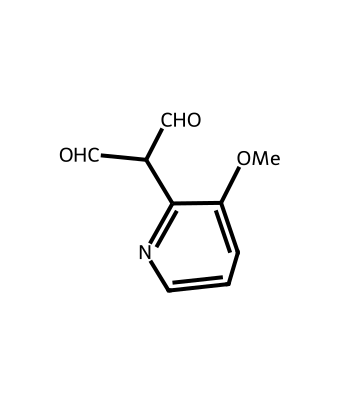 COc1cccnc1C(C=O)C=O